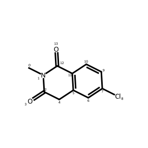 CN1C(=O)Cc2cc(Cl)ccc2C1=O